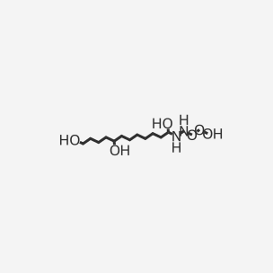 OCCCCC(O)CCCCCCC(O)NNOOO